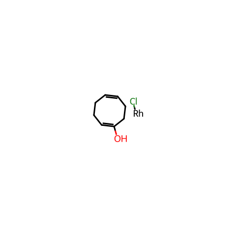 OC1=CCCC=CCC1.[Cl][Rh]